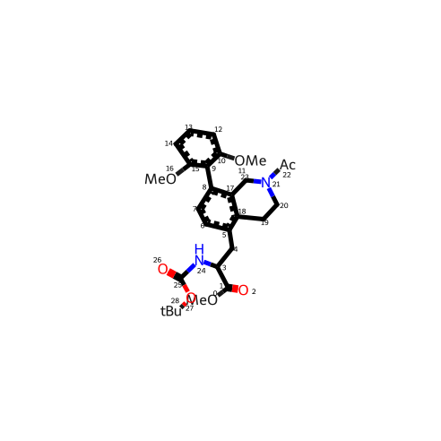 COC(=O)C(Cc1ccc(-c2c(OC)cccc2OC)c2c1CCN(C(C)=O)C2)NC(=O)OC(C)(C)C